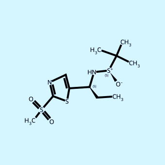 CC[C@H](N[S@+]([O-])C(C)(C)C)c1cnc(S(C)(=O)=O)s1